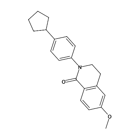 COc1ccc2c(c1)CCN(c1ccc(C3CCCC3)cc1)C2=O